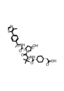 Cc1ncsc1-c1ccc([C@H](C)NC(=O)[C@@H]2C[C@@H](O)CN2C(=O)[C@@H](NC(=O)[C@H]2CC[C@@H](CC(=O)O)CC2)C(C)(C)C)cc1